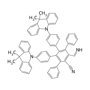 CC1(C)c2ccccc2N(c2ccc(-c3c(-c4ccccc4)c(C#N)c(C=N)c(-c4ccccc4)c3-c3ccc(N4c5ccccc5C(C)(C)c5ccccc54)cc3)cc2)c2ccccc21